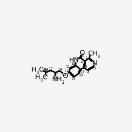 Cc1nccc2c1c(=O)[nH]c1cc(OCC(N)CC(C)C)ccc12